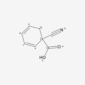 N#CC1(C(=O)O)C=CC=CC1